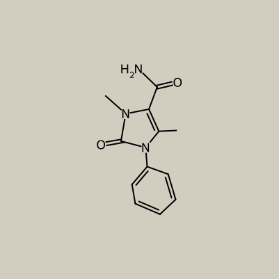 Cc1c(C(N)=O)n(C)c(=O)n1-c1ccccc1